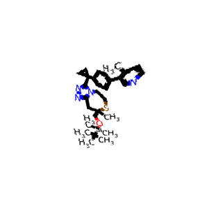 Cc1ccncc1-c1ccc(C2(c3nnc4n3CCSC(C)(CO[Si](C)(C)C(C)(C)C)C4)CC2)cc1